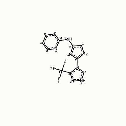 FC(F)(F)c1n[nH]cc1-c1nc(Nc2ccccn2)cs1